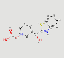 O=C(O)ON1CCCC(C(O)c2nc3ccccc3s2)C1